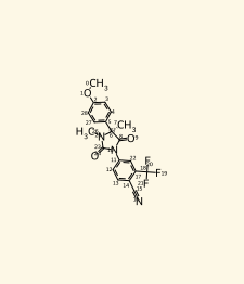 COc1ccc([C@@]2(C)C(=O)N(c3ccc(C#N)c(C(F)(F)F)c3)C(=O)N2C)cc1